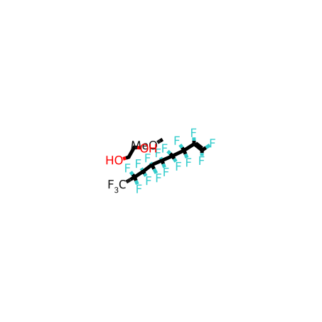 COC.FC(F)=C(F)C(F)(F)C(F)(F)C(F)(F)C(F)(F)C(F)(F)C(F)(F)C(F)(F)F.OCCO